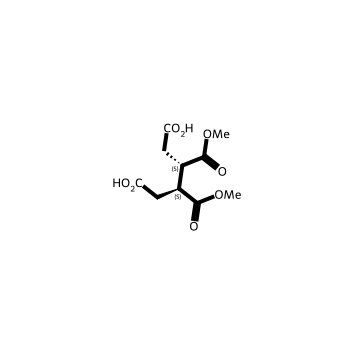 COC(=O)[C@@H](CC(=O)O)[C@H](CC(=O)O)C(=O)OC